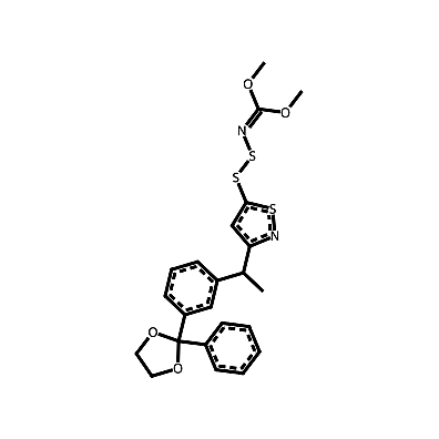 COC(=NSSc1cc(C(C)c2cccc(C3(c4ccccc4)OCCO3)c2)ns1)OC